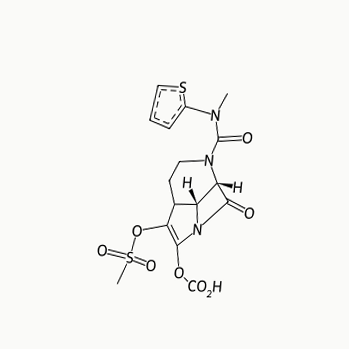 CN(C(=O)N1CCC2C(OS(C)(=O)=O)=C(OC(=O)O)N3C(=O)[C@@H]1[C@@H]23)c1cccs1